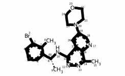 Cc1c(Br)cccc1[C@@H](C)Nc1nnc(C)c2ncc(N3CCOCC3)cc12